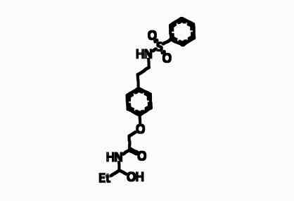 CCC(O)NC(=O)COc1ccc(CCNS(=O)(=O)c2ccccc2)cc1